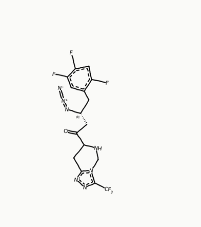 [N-]=[N+]=N[C@@H](CC(=O)C1Cc2nnc(C(F)(F)F)n2CN1)Cc1cc(F)c(F)cc1F